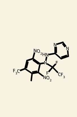 Cc1c(C(F)(F)F)cc([N+](=O)[O-])c(N(Nc2ccncn2)C(F)(F)C(F)(F)F)c1[N+](=O)[O-]